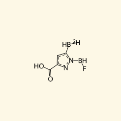 [2H]Bc1cc(C(=O)O)nn1BF